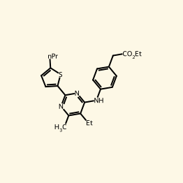 CCCc1ccc(-c2nc(C)c(CC)c(Nc3ccc(CC(=O)OCC)cc3)n2)s1